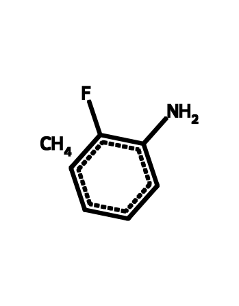 C.Nc1ccccc1F